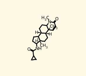 CN1C(=O)C=C[C@@]2(C)C1CC[C@@H]1[C@H]2CC[C@]2(C)C(NC(=O)C3CC3)CC[C@@H]12